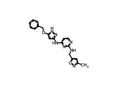 Cc1cc(CNc2nccc(Nc3cc(OCc4ccccc4)[nH]n3)n2)on1